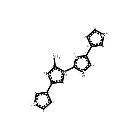 Nc1nc(-c2ccsc2)cn1-c1nc(-c2ccsc2)cs1